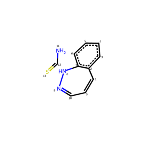 C1=Cc2ccccc2NN=C1.NC=S